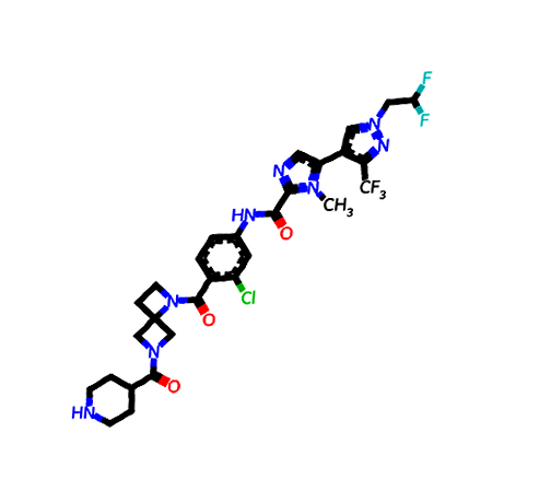 Cn1c(-c2cn(CC(F)F)nc2C(F)(F)F)cnc1C(=O)Nc1ccc(C(=O)N2CCC23CN(C(=O)C2CCNCC2)C3)c(Cl)c1